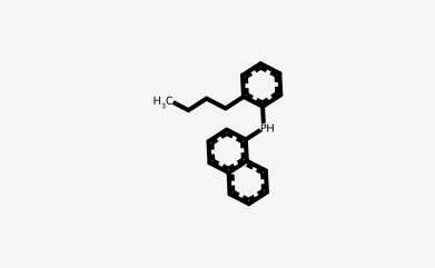 CCCCc1ccccc1Pc1cccc2ccccc12